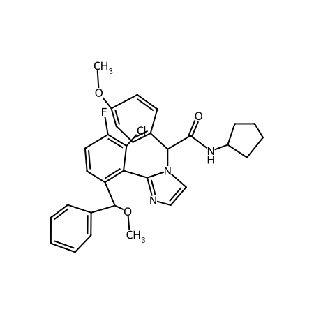 COc1ccc(C(C(=O)NC2CCCC2)n2ccnc2-c2c(C(OC)c3ccccc3)ccc(F)c2Cl)cc1